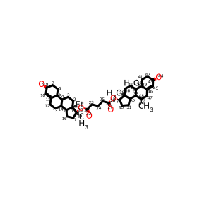 CC[C@]12CCC3C4CCC(=O)C=C4CCC3C1CC[C@]2(C)OC(=O)CCCC(=O)O[C@H]1CCC2C3C(CC[C@@]21C)[C@@]1(C)CCC(=O)C=C1C[C@H]3C